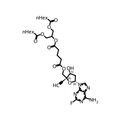 C#C[C@]1(COC(=O)CCCC(=O)OC(COC(=O)CCCCCC)COC(=O)CCCCCC)O[C@@H](n2cnc3c(N)nc(F)nc32)C[C@@H]1O